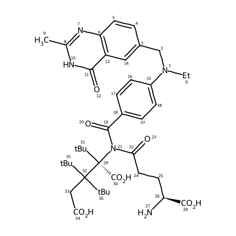 CCN(Cc1ccc2nc(C)[nH]c(=O)c2c1)c1ccc(C(=O)N(C(=O)CC[C@H](N)C(=O)O)[C@](C(=O)O)(C(C)(C)C)C(CC(=O)O)(C(C)(C)C)C(C)(C)C)cc1